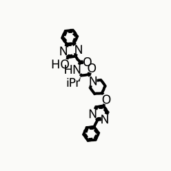 CC(C)[C@H](NC(=O)c1nc2ccccc2nc1O)C(=O)N1CCC(Oc2cnc(-c3ccccc3)nc2)CC1